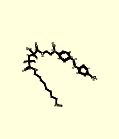 CCCCCCCCCCCCCCCCCCOC(=O)C(C)(C)CC(C)(CC)C(=O)OCCN(CC)c1ccc(/N=N/c2ccc([N+](=O)[O-])cc2)cc1